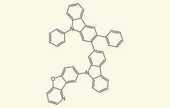 c1ccc(-c2cc3c4ccccc4n(-c4ccccc4)c3cc2-c2ccc3c4ccccc4n(-c4ccc5oc6cccnc6c5c4)c3c2)cc1